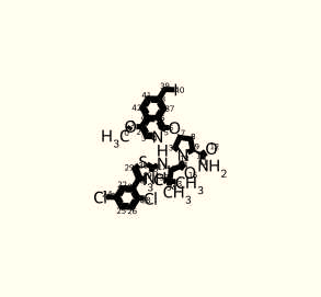 COc1cnc(O[C@@H]2C[C@@H](C(N)=O)N(C(=O)[C@@H](NC3NC(c4cc(Cl)ccc4Cl)=CS3)C(C)(C)C)C2)c2cc(CI)ccc12